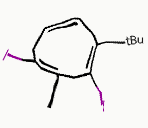 Cc1c(I)ccc(C(C)(C)C)c1I